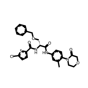 Cc1cc(NC(=O)[C@@H](COCc2ccccc2)NC(=O)c2ccc(Cl)s2)ccc1N1CCOCC1=O